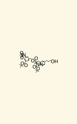 CN(c1cc(COC(=O)[C@](C)(Cc2cccc(CCCO)c2)NC(=O)OC(C)(C)C)cc(C(=O)OC(C)(C)C)c1)S(C)(=O)=O